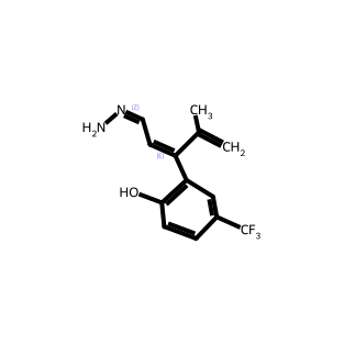 C=C(C)/C(=C\C=N/N)c1cc(C(F)(F)F)ccc1O